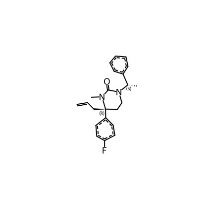 C=CC[C@]1(c2ccc(F)cc2)CCN([C@@H](C)c2ccccc2)C(=O)N1C